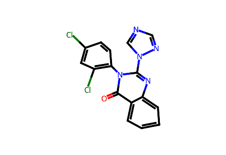 O=c1c2ccccc2nc(-n2cncn2)n1-c1ccc(Cl)cc1Cl